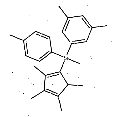 CC1=C(C)C(C)C([Si](C)(c2ccc(C)cc2)c2cc(C)cc(C)c2)=C1C